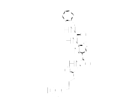 O=C(O)CCCC(=O)CNC(=O)c1csc(NC(=O)NCc2ccccc2)n1